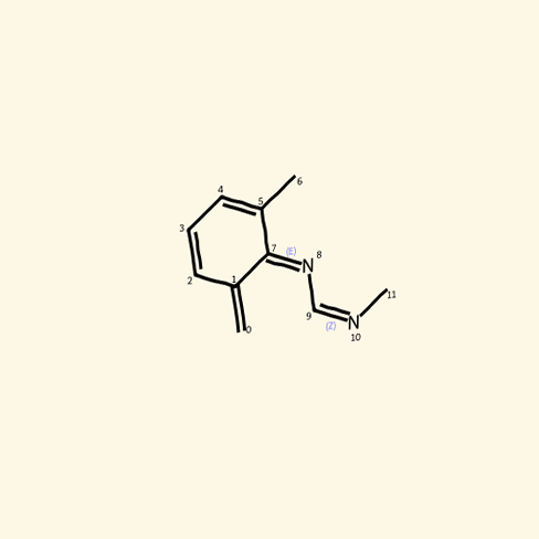 C=C1C=CC=C(C)/C1=N/C=N\C